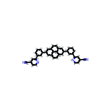 N#Cc1ccnc(-c2cccc(-c3cc4ccc5cc(-c6cccc(-c7cc(C#N)ccn7)c6)cc6ccc(c3)c4c56)c2)c1